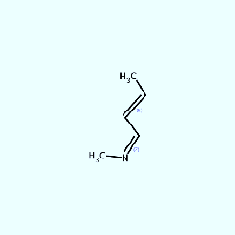 C/C=C/C=N\C